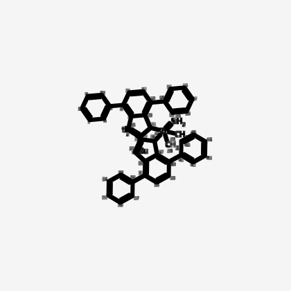 CC(C)(C)C1=Cc2c(-c3ccccc3)ccc(-c3ccccc3)c2[CH]1[Zr]([CH3])([CH3])(=[SiH2])[CH]1C(C(C)(C)C)=Cc2c(-c3ccccc3)ccc(-c3ccccc3)c21